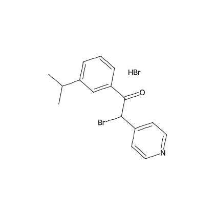 Br.CC(C)c1cccc(C(=O)C(Br)c2ccncc2)c1